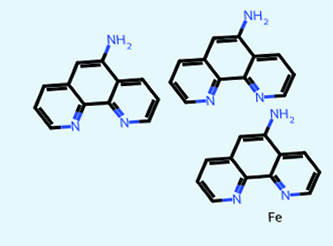 Nc1cc2cccnc2c2ncccc12.Nc1cc2cccnc2c2ncccc12.Nc1cc2cccnc2c2ncccc12.[Fe]